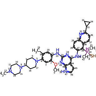 COc1cc(N2CCC(N3CCN(C)CC3)CC2)c(C)cc1Nc1nc(Nc2ccc3nc(C4CC4)ccc3c2[PH](C)(C)S)c2cc[nH]c2n1